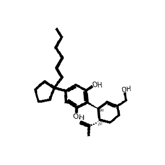 C=C(C)[C@H]1CCC(CO)=C[C@@H]1c1c(O)cc(C2(CCCCCC)CCCC2)cc1O